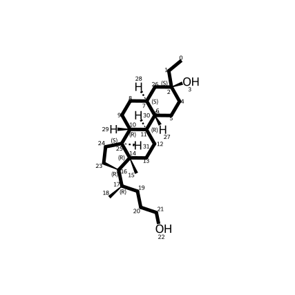 CC[C@]1(O)CC[C@H]2[C@@H](CC[C@@H]3[C@@H]2CC[C@]2(C)[C@@H]([C@H](C)CCCO)CC[C@@H]32)C1